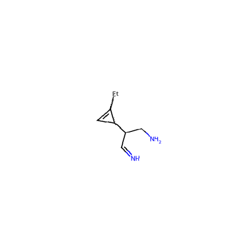 CCC1=CC1C(C=N)CN